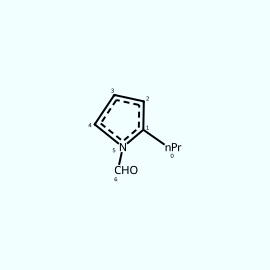 CCCc1cccn1C=O